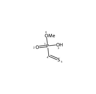 COP(=O)(O)C=S